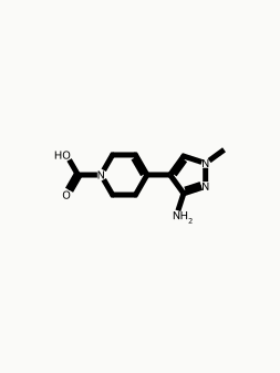 Cn1cc(C2=CCN(C(=O)O)CC2)c(N)n1